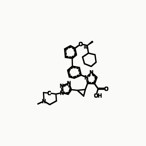 C[C@H](Oc1cccc(-c2cccc(-n3ncc(C(=O)O)c3C3CC3c3cn(C4CCN(C)CC4)nn3)c2)c1)C1CCCCC1